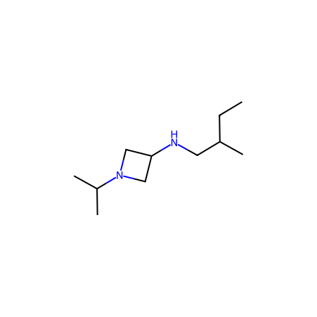 CCC(C)CNC1CN(C(C)C)C1